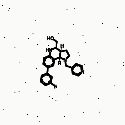 OC[C@@H]1Nc2ccc(-c3cccc(F)c3)cc2[C@H]2[C@@H]1CCN2Cc1ccncc1